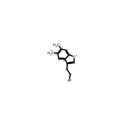 Cc1cc2occ(CCBr)c2cc1C